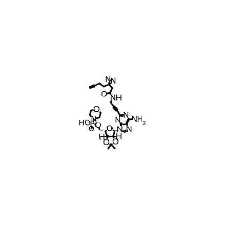 C#CCCC1(CC(=O)NCC#Cc2nc(N)c3ncn([C@H]4O[C@@H](COP(=O)(O)N5CCOCC5)[C@H]5OC(C)(C)O[C@H]54)c3n2)N=N1